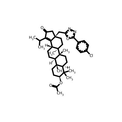 CC(=O)O[C@H]1CC[C@]2(C)[C@H]3CC[C@@H]4C5=C(C(C)C)C(=O)C[C@]5(Cc5nnc(-c6ccc(Cl)cc6)o5)CC[C@@]4(C)[C@]3(C)CC[C@H]2C1(C)C